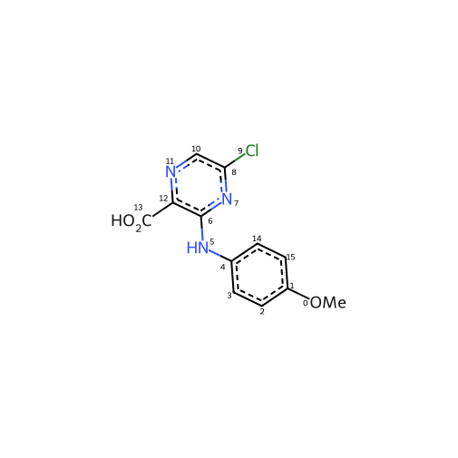 COc1ccc(Nc2nc(Cl)cnc2C(=O)O)cc1